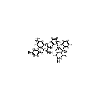 C[C@H]1CNC[C@H](CCc2c(F)cccc2NC(=O)[C@@H](N)[C@@H](Cc2ccc(F)cc2)c2ccc(Cl)cc2)N1S(=O)(=O)c1ccccc1